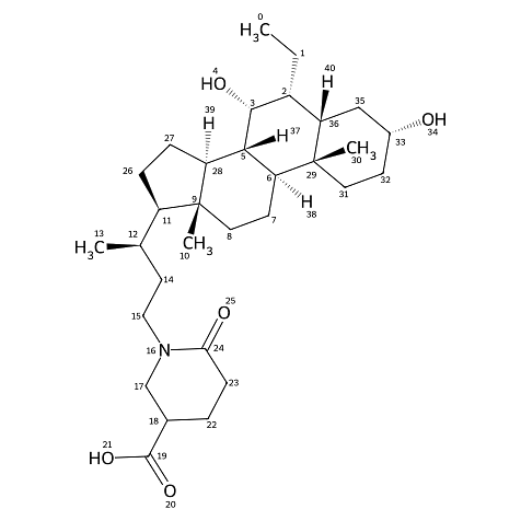 CC[C@H]1[C@@H](O)[C@@H]2[C@H](CC[C@]3(C)[C@@H]([C@H](C)CCN4CC(C(=O)O)CCC4=O)CC[C@@H]23)[C@@]2(C)CC[C@@H](O)C[C@@H]12